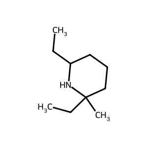 CCC1CCCC(C)(CC)N1